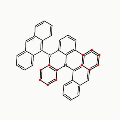 c1ccc(-c2cccc(N(c3ccccc3)c3c4ccccc4cc4ccccc34)c2N(c2ccccc2)c2c3ccccc3cc3ccccc23)cc1